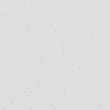 NC(=O)c1nc(N(CC2CC2)c2cnn(C3CCCCO3)c2)sc1-c1cc(C(=O)O)c[nH]1